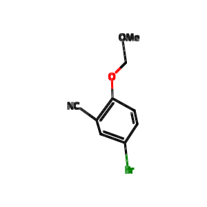 COCOc1ccc(Br)cc1C#N